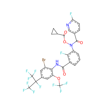 O=C(Nc1c(Br)cc(C(F)(C(F)(F)F)C(F)(F)F)cc1OC(F)(F)F)c1cccc(N(OC(=O)C2CC2)C(=O)c2ccc(F)nc2)c1F